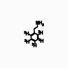 [2H]c1c([2H])c([2H])c(CCN)c([2H])c1[2H]